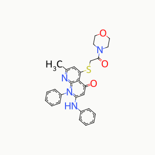 Cc1cc(SCC(=O)N2CCOCC2)c2c(=O)cc(Nc3ccccc3)n(-c3ccccc3)c2n1